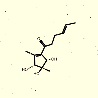 C/C=C/CCC(=O)C1=C(C)[C@@H](O)[C@@](C)(O)[C@H]1O